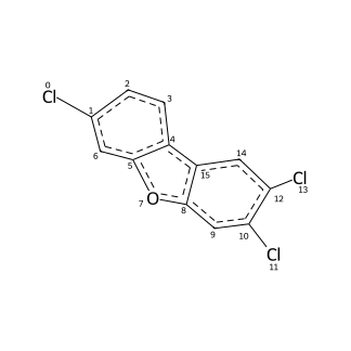 Clc1ccc2c(c1)oc1cc(Cl)c(Cl)cc12